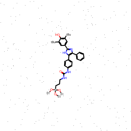 CCO[Si](CCCNC(=O)Nc1ccc(-c2[nH]c(-c3cc(C(C)(C)C)c(O)c(C(C)(C)C)c3)nc2-c2ccccc2)cc1)(OCC)OCC